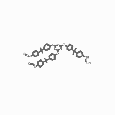 CC(C)(c1ccc(N=C=O)cc1)c1ccc(Oc2nc(Oc3ccc(C(C)(C)c4ccc(N=C=O)cc4)cc3)nc(Oc3ccc(C(C)(C)c4ccc(NCO)cc4)cc3)n2)cc1